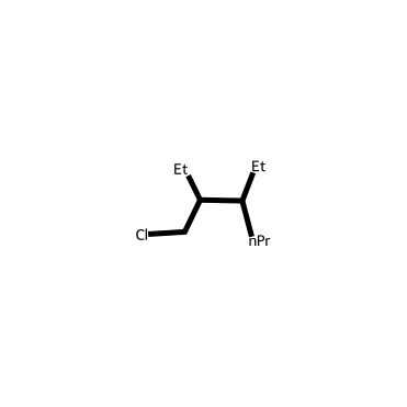 CCCC(CC)C(CC)CCl